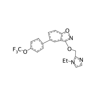 CCn1ccnc1COc1noc2ccc(-c3ccc(OC(F)(F)F)cc3)cc12